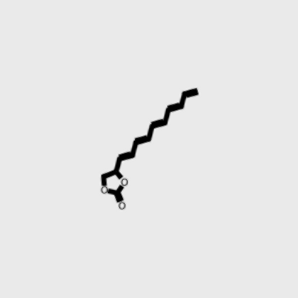 C=C/C=C/C=C/C=C/C=C/C1COC(=O)O1